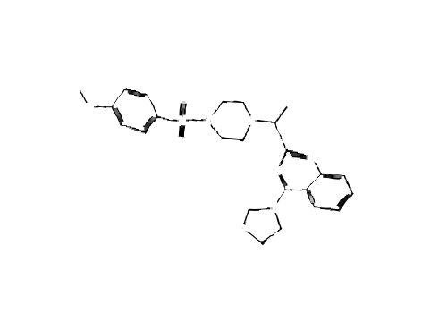 COc1ccc(S(=O)(=O)N2CCN(C(C)c3nc(N4CCSC4)c4ccccc4n3)CC2)cc1